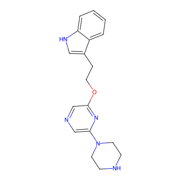 c1ccc2c(CCOc3cncc(N4CCNCC4)n3)c[nH]c2c1